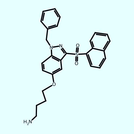 NCCCCOc1ccc2c(c1)c(S(=O)(=O)c1cccc3ccccc13)nn2Cc1ccccc1